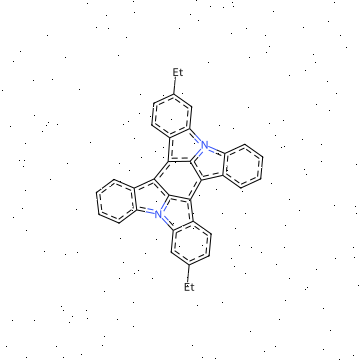 CCc1ccc2c3c4c5ccccc5n5c6cc(CC)ccc6c(c6c7ccccc7n(c2c1)c63)c45